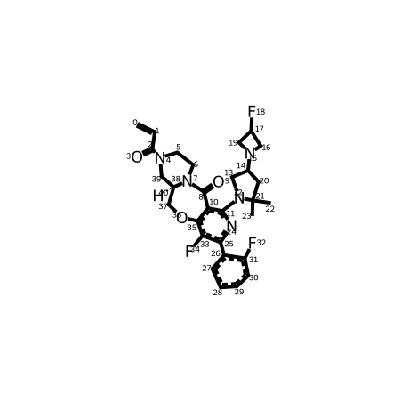 C=CC(=O)N1CCN2C(=O)c3c(N4CC(N5CC(F)C5)CC4(C)C)nc(-c4ccccc4F)c(F)c3OC[C@H]2C1